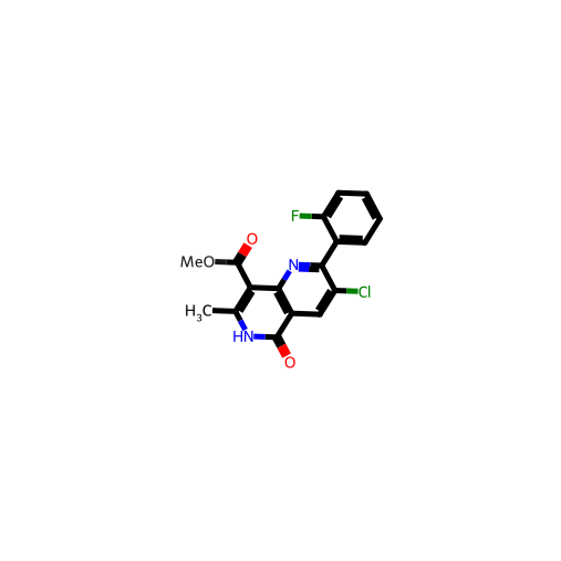 COC(=O)c1c(C)[nH]c(=O)c2cc(Cl)c(-c3ccccc3F)nc12